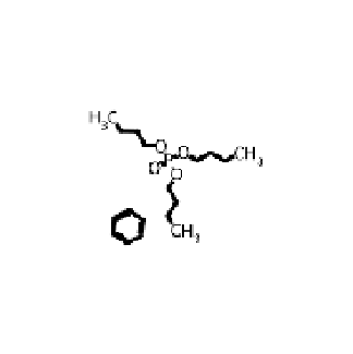 CCCCOP(=O)(OCCCC)OCCCC.c1ccccc1